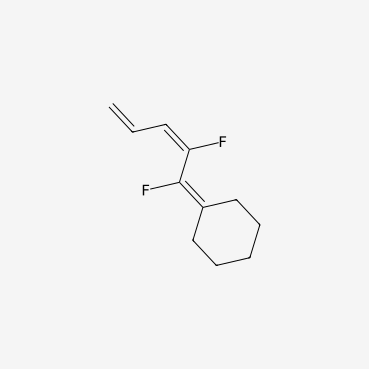 C=C/C=C(/F)C(F)=C1CCCCC1